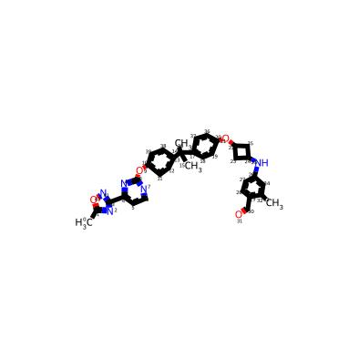 Cc1nc(-c2ccnc(Oc3ccc(C(C)(C)c4ccc(OC5CC(Nc6ccc(C=O)c(C)c6)C5)cc4)cc3)n2)no1